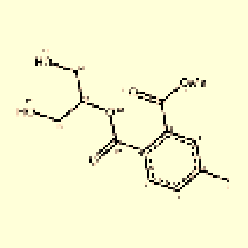 COC(=O)c1cc(C)ccc1C(=O)OC(CO)CO